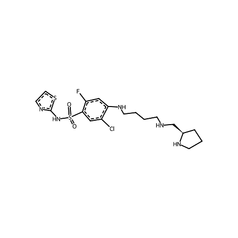 O=S(=O)(Nc1nccs1)c1cc(Cl)c(NCCCCNC[C@H]2CCCN2)cc1F